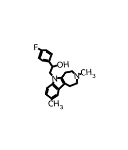 Cc1ccc2c(c1)c1c(n2CC(O)c2ccc(F)cc2)CCN(C)CC1